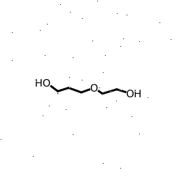 O[CH]CCOCCO